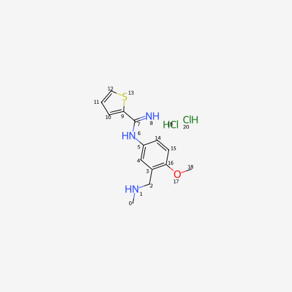 CNCc1cc(NC(=N)c2cccs2)ccc1OC.Cl.Cl